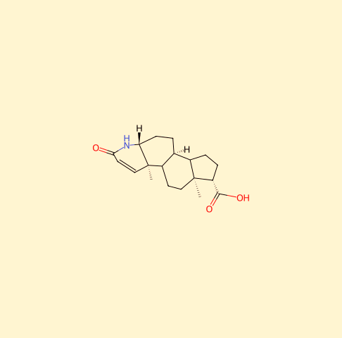 C[C@]12CCC3[C@@H](CC[C@H]4NC(=O)C=C[C@]34C)C1CC[C@@H]2C(=O)O